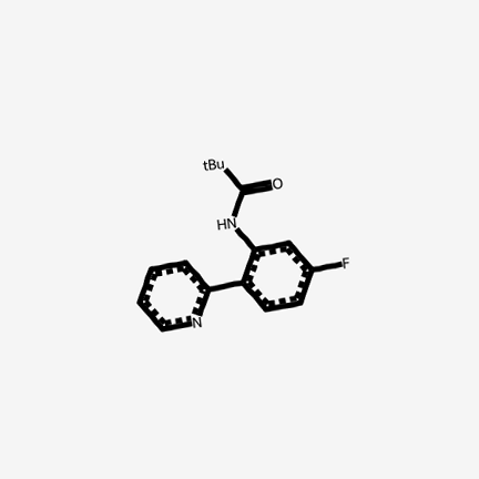 CC(C)(C)C(=O)Nc1cc(F)ccc1-c1ccccn1